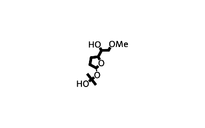 COCC(O)C1CC[C@@H](OC(C)(C)O)O1